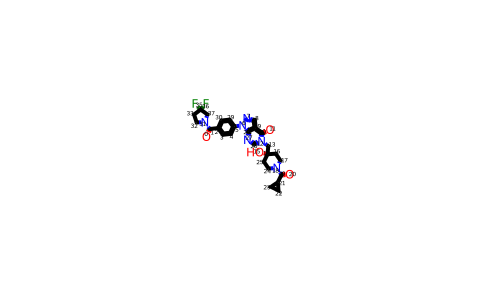 O=C(c1ccc(-n2ncc3c(=O)n(CC4(O)CCN(C(=O)C5CC5)CC4)cnc32)cc1)N1CCC(F)(F)C1